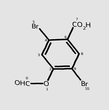 O=COc1cc(Br)c(C(=O)O)cc1Br